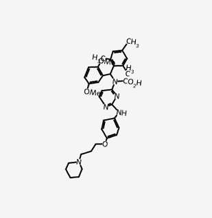 COc1ccc(OC)c(C(c2c(C)cc(C)cc2C)N(C(=O)O)c2ccnc(Nc3ccc(OCCCN4CCCCC4)cc3)n2)c1